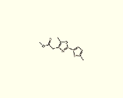 COC(=O)Cc1nc(-c2ccc(C)s2)oc1C